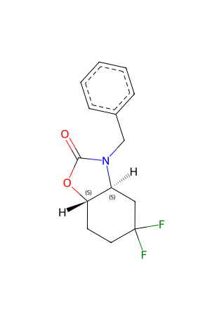 O=C1O[C@H]2CCC(F)(F)C[C@@H]2N1Cc1ccccc1